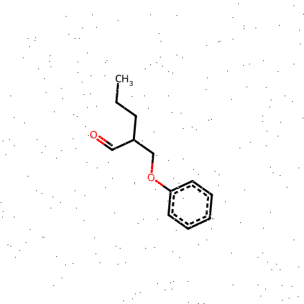 CCCC(C=O)COc1cc[c]cc1